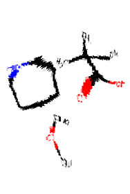 C1CCCNCC1.CC(C)(C)C(=O)O.CC(C)(C)OC=O